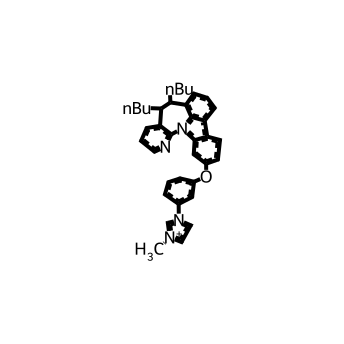 CCCCC1c2cccnc2-n2c3cc(Oc4cccc(-n5cc[n+](C)c5)c4)ccc3c3cccc(c32)C1CCCC